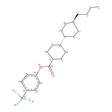 CCCC[C@H]1CC[C@H](C2CCC(C(=O)Oc3ccc(C(F)(F)F)cc3)CC2)CC1